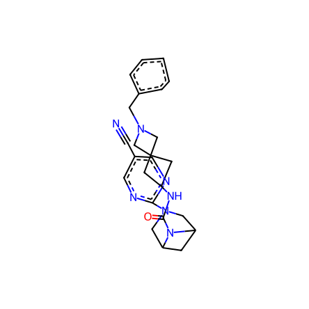 N#Cc1cnc(N2CC3CC(C2)N3C(=O)NC2CC3(C2)CN(Cc2ccccc2)C3)nc1